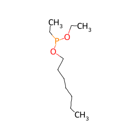 CCCCCCCOP(CC)OCC